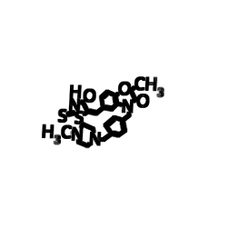 CC1Oc2ccc(C=C3SC(=S)NC3=O)cc2N(Cc2ccc(CN3CCN(C)CC3)cc2)C1=O